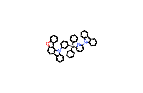 C1=CCCC([Si](c2ccccc2)(c2cccc(-n3c4ccccc4c4ccc5oc6ccccc6c5c43)c2)c2cccc(-n3c4ccccc4c4ccccc43)n2)=C1